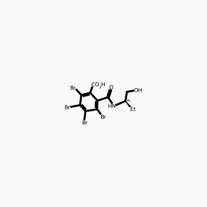 CC[C@H](CO)NC(=O)c1c(Br)c(Br)c(Br)c(Br)c1C(=O)O